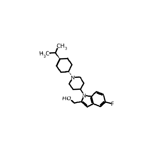 CC(C)[C@H]1CC[C@H](N2CCC(n3c(CO)cc4cc(F)ccc43)CC2)CC1